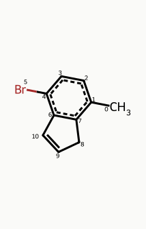 Cc1ccc(Br)c2c1CC=C2